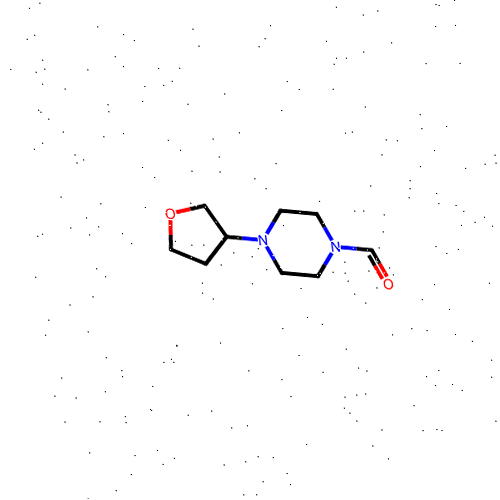 O=CN1CCN(C2CCOC2)CC1